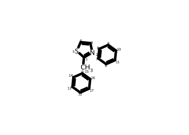 Cc1nccs1.c1ccccc1.c1ccccc1